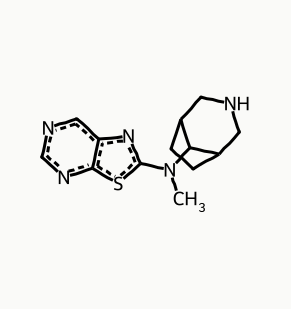 CN(c1nc2cncnc2s1)C1C2CCC1CNC2